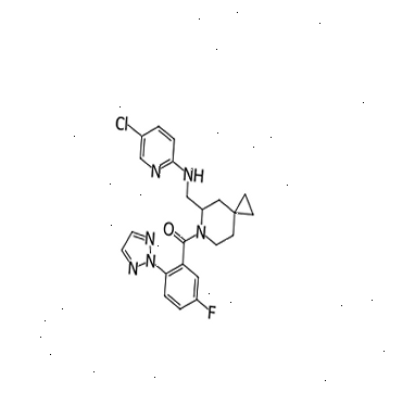 O=C(c1cc(F)ccc1-n1nccn1)N1CCC2(CC2)CC1CNc1ccc(Cl)cn1